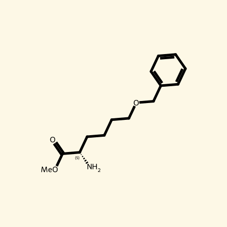 COC(=O)[C@@H](N)CCCCOCc1ccccc1